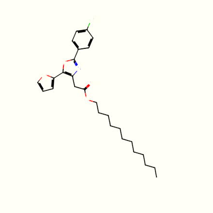 CCCCCCCCCCCCOC(=O)Cc1nc(-c2ccc(Cl)cc2)oc1-c1ccco1